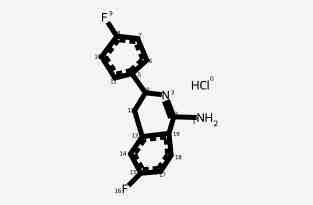 Cl.NC1=NC(c2ccc(F)cc2)Cc2cc(F)ccc21